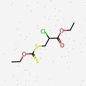 CCOC(=O)C(Cl)CSC(=S)OCC